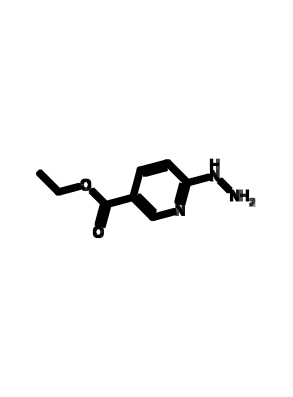 CCOC(=O)c1ccc(NN)nc1